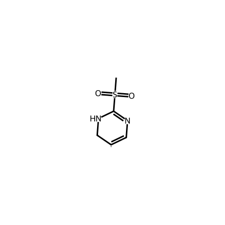 CS(=O)(=O)C1=NC=[C]CN1